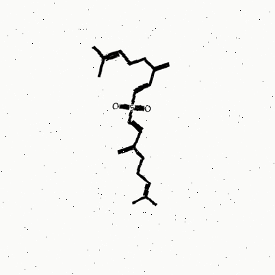 C=C(C=CS(=O)(=O)C=CC(=C)CCC=C(C)C)CCC=C(C)C